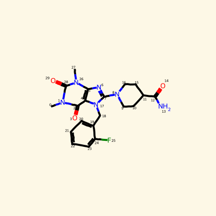 Cn1c(=O)c2c(nc(N3CCC(C(N)=O)CC3)n2Cc2ccccc2F)n(C)c1=O